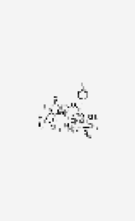 CC(C)[C@H](O[Si](C(C)C)(C(C)C)C(C)C)[C@@H](Cc1ccc(F)cc1)OCC[C@H](NC(=O)OC(C)(C)C)C(=O)O